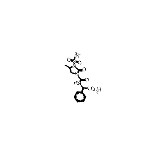 CC1CN(C(=O)NC(C(=O)O)c2ccccc2)C(=O)N1S(=O)(=O)C(C)C